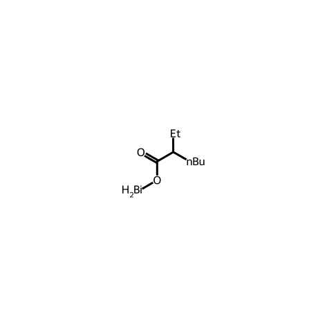 CCCCC(CC)C(=O)[O][BiH2]